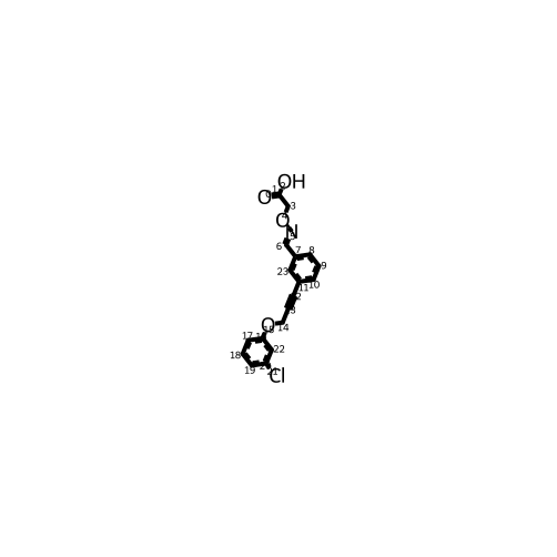 O=C(O)CO/N=C/c1cccc(C#CCOc2cccc(Cl)c2)c1